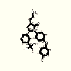 C=CC[C@@H]1C[C@H](c2cccc(C(F)(F)F)c2)N(c2ccc(Oc3ccc(Cl)cc3)cc2)C1=O